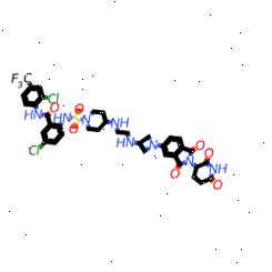 O=C1CCC(N2C(=O)c3ccc(N4CC(NCCNC5CCN(S(=O)(=O)Nc6ccc(Cl)cc6C(=O)Nc6ccc(C(F)(F)F)cc6Cl)CC5)C4)cc3C2=O)C(=O)N1